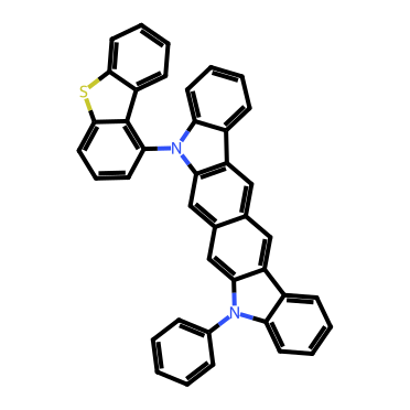 c1ccc(-n2c3ccccc3c3cc4cc5c6ccccc6n(-c6cccc7sc8ccccc8c67)c5cc4cc32)cc1